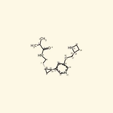 CC(C)C(=O)NCC[C@H]1C[C@@H]1c1cncc(OC[C@@H]2CCN2)c1